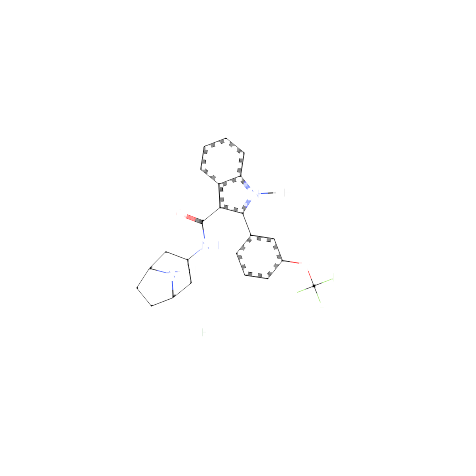 CN1C2CCC1CC(NC(=O)c1c(-c3cccc(OC(F)(F)F)c3)n(C)c3ccccc13)C2.Cl